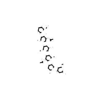 CC(=O)N[C@H]1[C@H](O[C@H]2[C@@H](O)[C@@H](CO)O[C@@H](O[C@H]3[C@H](O)[C@@H](NC(C)=O)[C@H](O[C@H]4[C@@H](O)[C@@H](CO)O[C@@H](O[C@H]5[C@H](O)[C@@H](O)C(O)O[C@@H]5CO)[C@@H]4O)O[C@@H]3CO)[C@@H]2O)O[C@H](CO)[C@@H](O[C@@H]2O[C@H](CO)[C@H](O)[C@H](O)[C@H]2O)[C@@H]1O